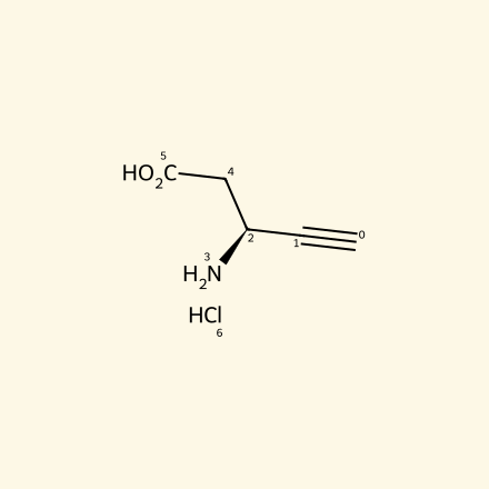 C#C[C@@H](N)CC(=O)O.Cl